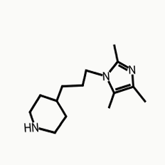 Cc1nc(C)n(CCCC2CCNCC2)c1C